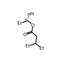 CCC[C@@H](CC)OC(=O)CC(CC)CC